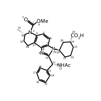 COC(=O)N1c2ccc3c(nc([C@H](NC(C)=O)c4ccccc4)n3[C@@H]3CCC[C@@H](C(=O)O)C3)c2CC[C@@H]1C